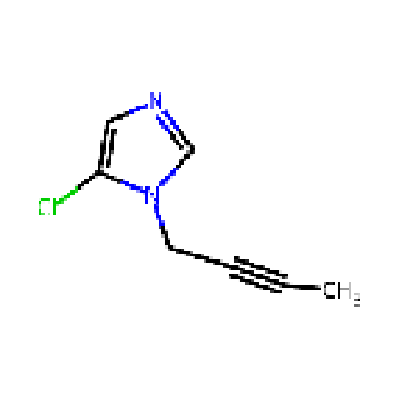 CC#CCn1cncc1Cl